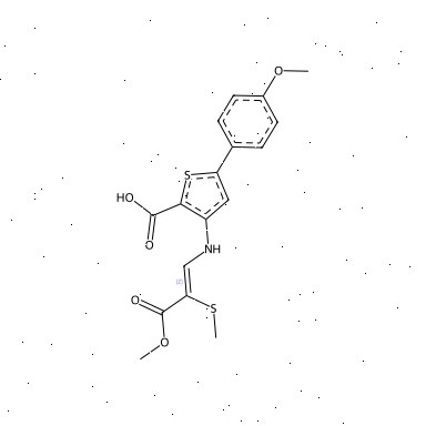 COC(=O)/C(=C/Nc1cc(-c2ccc(OC)cc2)sc1C(=O)O)SC